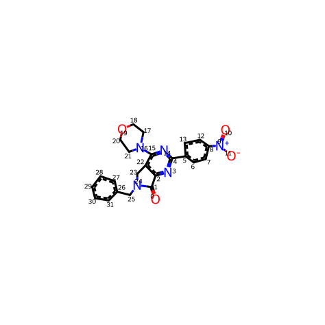 O=C1c2nc(-c3ccc([N+](=O)[O-])cc3)nc(N3CCOCC3)c2CN1Cc1ccccc1